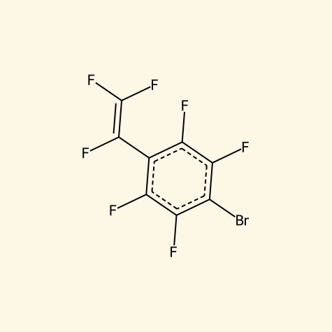 FC(F)=C(F)c1c(F)c(F)c(Br)c(F)c1F